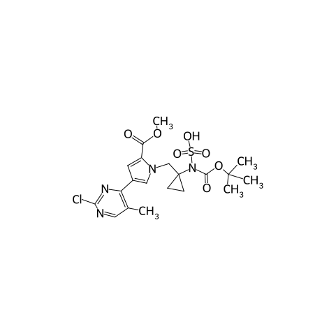 COC(=O)c1cc(-c2nc(Cl)ncc2C)cn1CC1(N(C(=O)OC(C)(C)C)S(=O)(=O)O)CC1